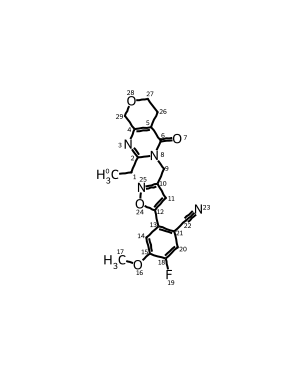 CCc1nc2c(c(=O)n1Cc1cc(-c3cc(OC)c(F)cc3C#N)on1)CCOC2